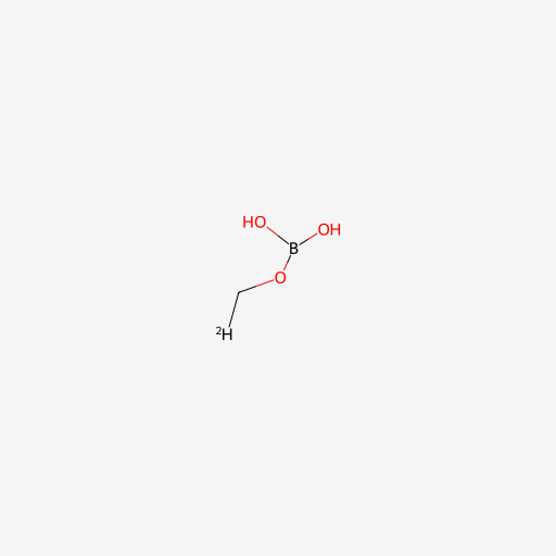 [2H]COB(O)O